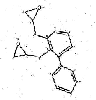 c1ccc(-c2cccc(CC3CO3)c2CC2CO2)cc1